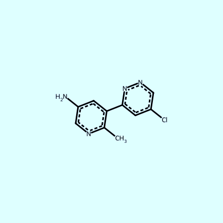 Cc1ncc(N)cc1-c1cc(Cl)cnn1